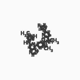 CO[C@]1(C(=O)N[C@@H](C)c2ccc(-n3cc(F)cn3)nc2)CC[C@H](c2nc(Nc3cc(C)[nH]n3)cc3nccnc32)CC1